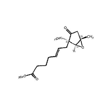 CCCCCCCCCC[C@]1(CC=CCCCC(=O)OC)C(=O)C[C@]2(C)O[C@@H]12